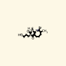 CC1CCCc2c(n(C)c(=O)n(CCCO)c2=O)/N=C\1Br